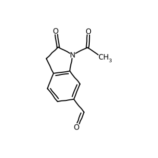 CC(=O)N1C(=O)Cc2ccc(C=O)cc21